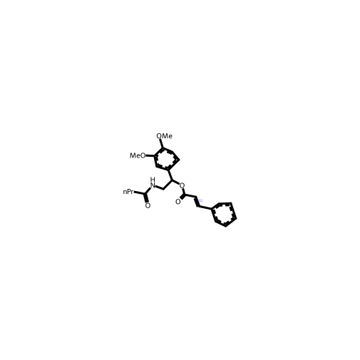 CCCC(=O)NCC(OC(=O)/C=C/c1ccccc1)c1ccc(OC)c(OC)c1